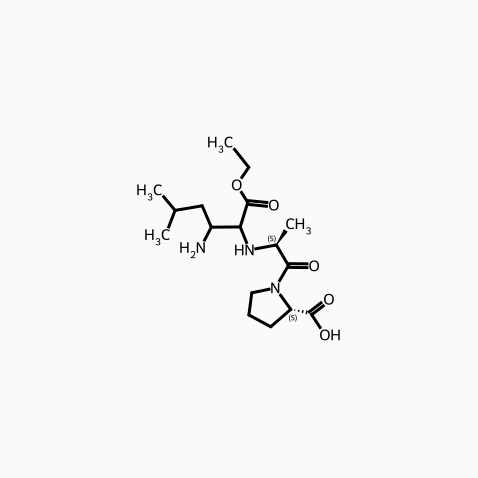 CCOC(=O)C(N[C@@H](C)C(=O)N1CCC[C@H]1C(=O)O)C(N)CC(C)C